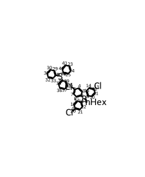 CCCCCC[B-](c1ccc(Cl)cc1)(c1ccc(Cl)cc1)c1ccc(Cl)cc1.c1ccc([S+](c2ccccc2)c2ccccc2)cc1